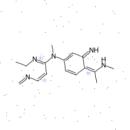 C=N/C=C\C(=N/CC)N(C)C1=CC(=N)/C(=C(/C)NC)C=C1